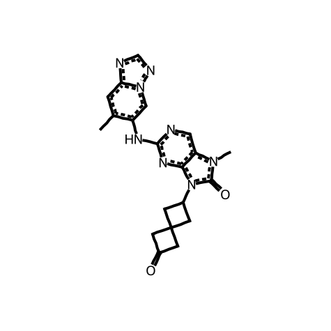 Cc1cc2ncnn2cc1Nc1ncc2c(n1)n(C1CC3(CC(=O)C3)C1)c(=O)n2C